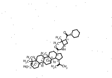 C=C(C)[C@@H]1CC[C@]2(C(=O)N[C@@H]3C[C@H](C(=O)N4CCCCC4)C3(C)C)CC[C@]3(C)[C@H](CC[C@@H]4[C@@]5(C)CC[C@H](O)C(C)(C)[C@@H]5CC[C@]43C)C12